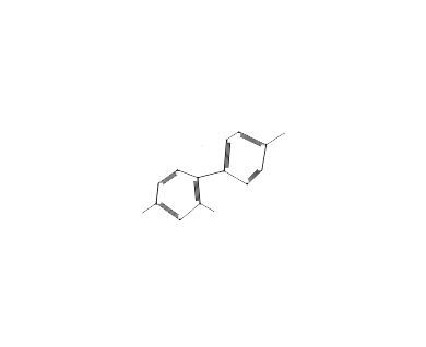 Fc1ccc(-c2ccc(F)cc2Cl)cc1.[Sn]